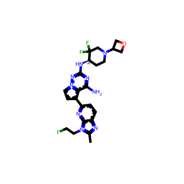 Cc1nc2ccc(-c3ccn4nc(N[C@@H]5CCN(C6COC6)CC5(F)F)nc(N)c34)nc2n1CCF